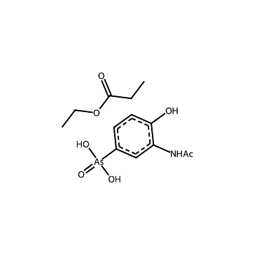 CC(=O)Nc1cc([As](=O)(O)O)ccc1O.CCOC(=O)CC